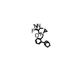 Cc1nn(C)c(F)c1C(=O)N(Cc1ccccc1C1CC2CCC1C2)C1CC1